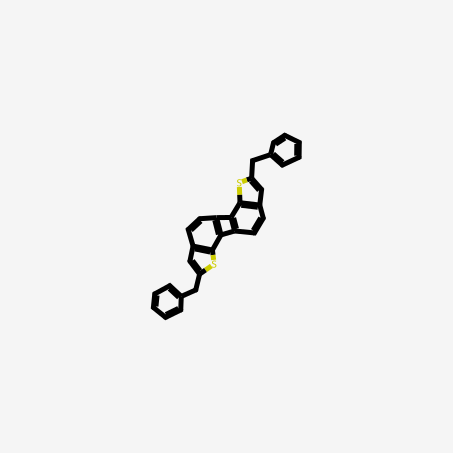 c1ccc(Cc2cc3ccc4c(c3s2)-c2ccc3cc(Cc5ccccc5)sc3c2-4)cc1